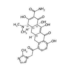 Cc1nccn1CC(=O)c1ccc(O)c2c1C[C@H]1C[C@H]3[C@H](N(C)C)C(O)=C(C(N)=O)C(=O)[C@@]3(O)C(O)=C1C2=O